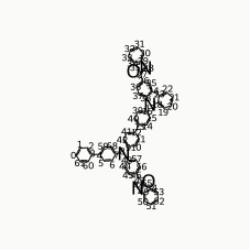 c1ccc(-c2ccc(N(c3ccc(-c4ccc(-n5c6ccccc6c6cc(-c7nc8ccccc8o7)ccc65)cc4)cc3)c3ccc(-c4nc5ccccc5o4)cc3)cc2)cc1